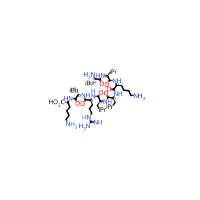 CC[C@H](C)[C@H](N)C(=O)N[C@H](C(=O)N[C@@H](CCCCN)C(=O)N[C@@H](CC(C)C)C(=O)N[C@@H](CC(C)C)C(=O)N[C@@H](CCCNC(=N)N)C(=O)N[C@H](C(=O)N[C@@H](CCCCN)C(=O)O)[C@@H](C)CC)C(C)C